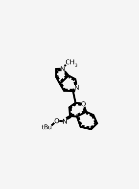 Cn1ccc2cc(-c3cc(=NOC(C)(C)C)c4ccccc4o3)ncc21